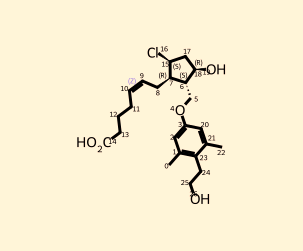 Cc1cc(OC[C@@H]2[C@@H](C/C=C\CCCC(=O)O)[C@@H](Cl)C[C@H]2O)cc(C)c1CCO